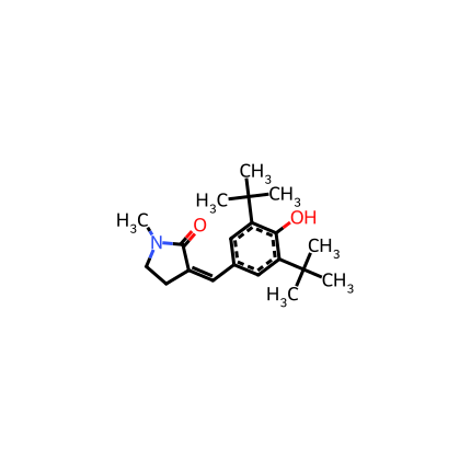 CN1CCC(=Cc2cc(C(C)(C)C)c(O)c(C(C)(C)C)c2)C1=O